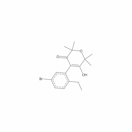 CCc1ccc(Br)cc1C1=C(O)C(C)(C)OC(C)(C)C1=O